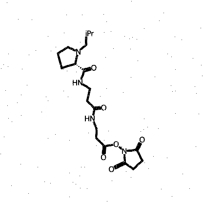 CC(C)CN1CCC[C@H]1C(=O)NCCC(=O)NCCC(=O)ON1C(=O)CCC1=O